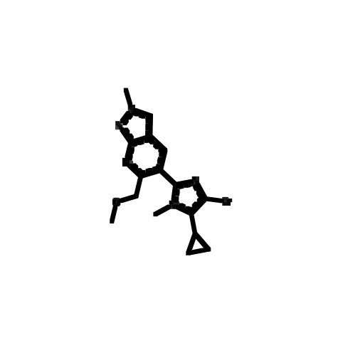 COCc1nc2nn(C)cc2cc1-c1nc(Br)c(C2CC2)n1C